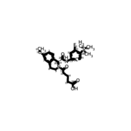 COc1ccc2c(c1)CCN(C(=O)CCCC(=O)O)[C@H]2C(=O)Nc1ccc(S(C)(C)C)c(F)c1